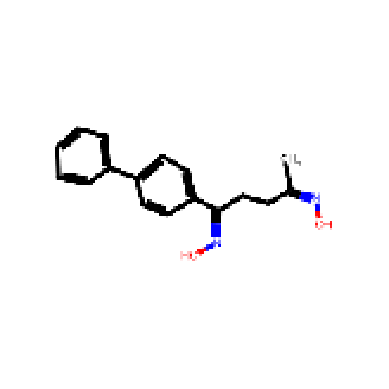 C/C(CC/C(=N/O)c1ccc(-c2ccccc2)cc1)=N/O